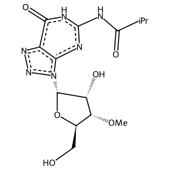 CO[C@H]1[C@@H](O)[C@@H](n2nnc3c(=O)[nH]c(NC(=O)C(C)C)nc32)O[C@@H]1CO